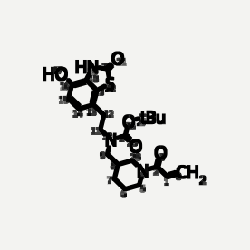 C=CC(=O)N1CCCC(CN(CCc2ccc(O)c3[nH]c(=O)sc23)C(=O)OC(C)(C)C)C1